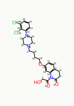 O=C(CO)N1C(=O)CCc2ccc(OCCCCN3CCN(c4cccc(Cl)c4Cl)CC3)cc21